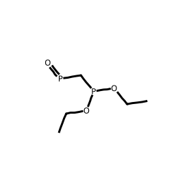 CCOP(CP=O)OCC